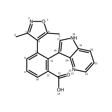 Cc1noc(C)c1-c1cccc(C(=O)O)c1-c1c[nH]c2cccnc12